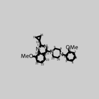 COc1ccccc1N1CCN(c2nc(C3CC3)nc3c(OC)cccc23)CC1